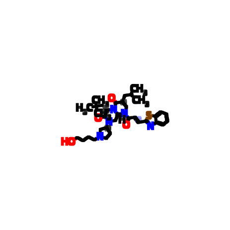 CC(C)C[C@H]1CN(C(=O)/C=C/c2nc3ccccc3s2)[C@H]2CN([C@@H]3CCN(CCCCO)C3)C(=O)[C@H](CC(C)(C)C)N2C1=O